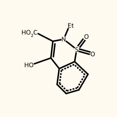 CCN1C(C(=O)O)=C(O)c2ccccc2S1(=O)=O